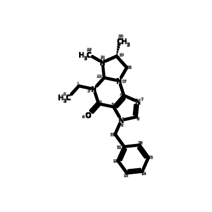 CCN1C(=O)c2c(ncn2Cc2ccccc2)N2C[C@@H](C)N(C)C12